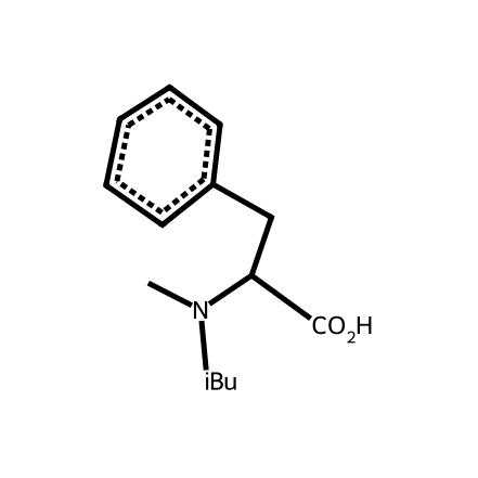 CCC(C)N(C)C(Cc1ccccc1)C(=O)O